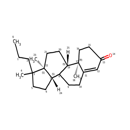 CCCC1(C)CC[C@H]2C3CCC4=CC(=O)CC[C@]4(C)[C@H]3CC[C@@]21C